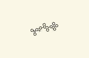 CC1(C)c2cc(-c3cc4c5ccccc5c(-c5ccc6c(c5)-c5ccccc5C6(c5ccccc5)c5ccccc5)cc4c4ccccc34)ccc2-c2ccc(N(c3ccccc3)c3ccccc3)cc21